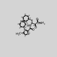 Cc1cnc(C(=O)NC(Cc2ccccc2)C(=O)C(N)=O)n1-c1ccncc1